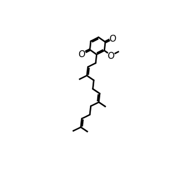 COC1=C(CC=C(C)CCC=C(C)CCC=C(C)C)C(=O)C=CC1=O